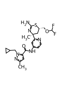 Cc1cc(C(=O)Nc2ccnc([C@]3(C)C[C@@H](COC(F)F)SC(N)=N3)c2)n(CC2CC2)n1